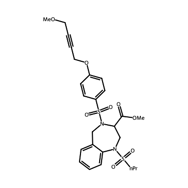 CCCS(=O)(=O)N1CC(C(=O)OC)N(S(=O)(=O)c2ccc(OCC#CCOC)cc2)Cc2ccccc21